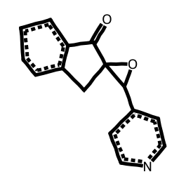 O=C1c2ccccc2CC12OC2c1ccncc1